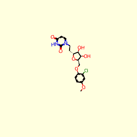 COc1ccc(OC[C@H]2O[C@H](CCn3ccc(=O)[nH]c3=O)[C@@H](O)[C@H]2O)c(Cl)c1